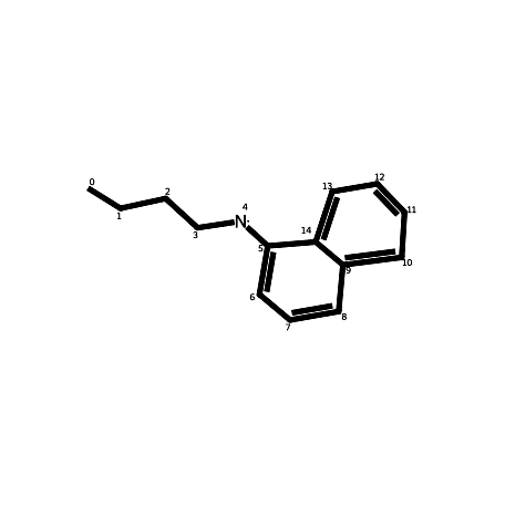 CCCC[N]c1cccc2ccccc12